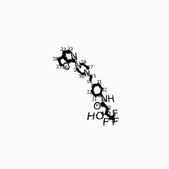 O=C(C[C@@H](O)C(F)(F)F)N[C@H]1CC[C@H](CCN2CCN(c3nccc4c3OCC4)CC2)CC1